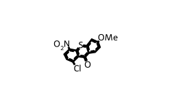 COc1ccc2c(=O)c3c(Cl)ccc([N+](=O)[O-])c3sc2c1